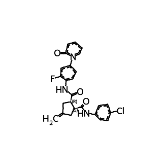 C=C1C[C@H](C(=O)Nc2ccc(Cl)cc2)[C@H](C(=O)Nc2ccc(-n3ccccc3=O)cc2F)C1